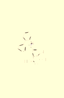 O=C(O)c1cc(/N=N/c2ccccc2-c2ccccc2)cc(I)c1O